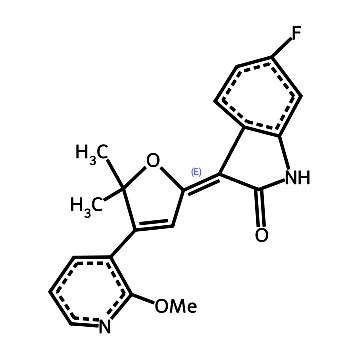 COc1ncccc1C1=C/C(=C2\C(=O)Nc3cc(F)ccc32)OC1(C)C